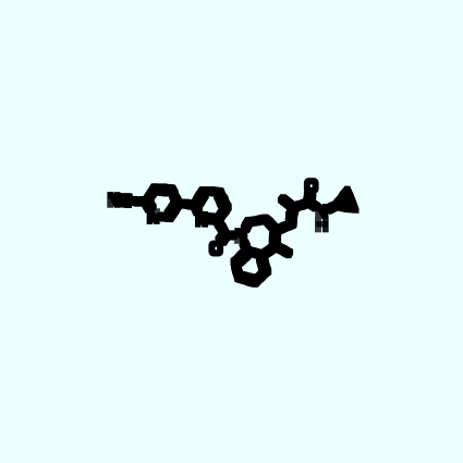 CC1=C(/C=C(\C)C(=O)NC2CC2)CCN(C(=O)c2cccc(-c3ccc(C#N)nc3)n2)c2ccccc21